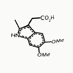 COc1cc2[nH]c(C)c(CC(=O)O)c2cc1OC